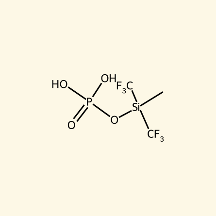 C[Si](OP(=O)(O)O)(C(F)(F)F)C(F)(F)F